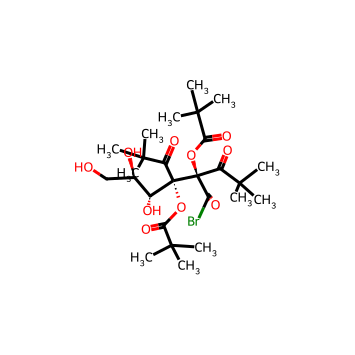 CC(C)(C)C(=O)O[C@](C(=O)Br)(C(=O)C(C)(C)C)[C@](OC(=O)C(C)(C)C)(C(=O)C(C)(C)C)[C@H](O)[C@H](O)CO